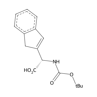 CC(C)(C)OC(=O)N[C@H](C(=O)O)C1=Cc2ccccc2C1